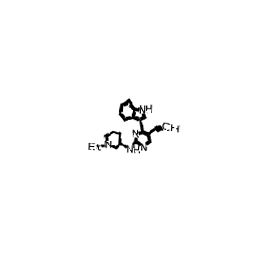 C#Cc1cnc(NC2CCCN(CC)C2)nc1-c1c[nH]c2ccccc12